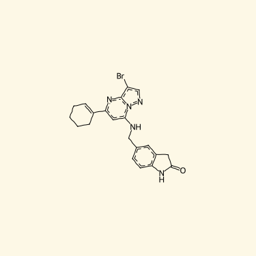 O=C1Cc2cc(CNc3cc(C4=CCCCC4)nc4c(Br)cnn34)ccc2N1